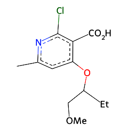 CCC(COC)Oc1cc(C)nc(Cl)c1C(=O)O